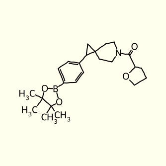 CC1(C)OB(c2ccc(C3CC34CCN(C(=O)C3CCCO3)CC4)cc2)OC1(C)C